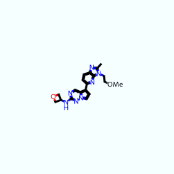 COCCn1c(C)nc2ccc(-c3ccn4nc(NC5COC5)ncc34)nc21